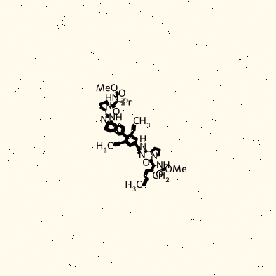 C=C(/C=C\C=C/C)[C@@H](NC(=O)OC)C(=O)N1CCC[C@H]1c1ncc(-c2cc(C#CC)c(-c3ccc4c(ccc5nc([C@@H]6CCCN6C(=O)[C@@H](NC(=O)OC)C(C)C)[nH]c54)c3)c(C#CC)c2)[nH]1